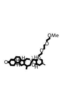 COCCOCCOCCN1C[C@@H](C)C[C@H]2O[C@]3(CC[C@@H]4C(C[C@H]5[C@H]4CCC4=CC(=O)CC[C@@]45C)C(C)C3)[C@H](C)[C@@H]21